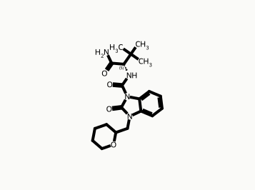 CC(C)(C)[C@H](NC(=O)n1c(=O)n(CC2CCCCO2)c2ccccc21)C(N)=O